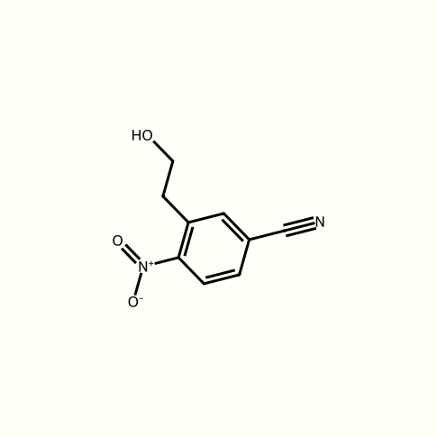 N#Cc1ccc([N+](=O)[O-])c(CCO)c1